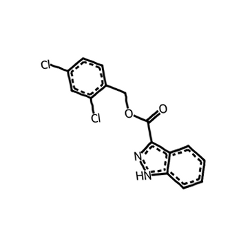 O=C(OCc1ccc(Cl)cc1Cl)c1n[nH]c2ccccc12